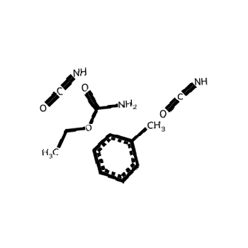 CCOC(N)=O.Cc1ccccc1.N=C=O.N=C=O